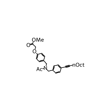 CCCCCCCCC#Cc1ccc(CN(Cc2ccc(OCC(=O)OC)cc2)C(C)=O)cc1